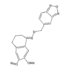 COc1cc2c(cc1OC)/C(=N/OCc1ccc3nonc3c1)CCC2